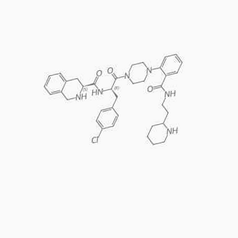 O=C(NCCC1CCCCN1)c1ccccc1N1CCN(C(=O)[C@@H](Cc2ccc(Cl)cc2)NC(=O)[C@@H]2Cc3ccccc3CN2)CC1